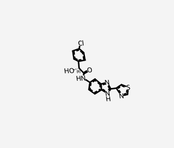 O=C(Nc1ccc2[nH]c(-c3cscn3)nc2c1)[C@H](O)c1ccc(Cl)cc1